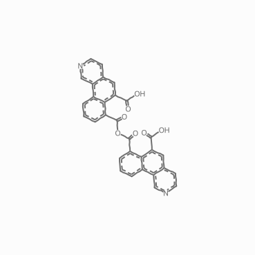 O=C(O)c1cc2ccncc2c2cccc(C(=O)OC(=O)c3cccc4c3c(C(=O)O)cc3ccncc34)c12